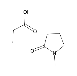 CCC(=O)O.CN1CCCC1=O